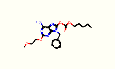 CCCCCOC(=O)Oc1nc2c(N)nc(OCCOC)nc2n1Cc1ccccc1